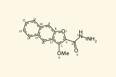 COc1c(C(=O)NN)oc2cc3ccccc3cc12